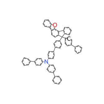 c1ccc(-c2ccc(N(c3ccc(-c4ccccc4)cc3)c3ccc(-c4ccc(C5(c6ccc(-c7ccccc7)cc6)c6ccccc6-c6c5ccc5c6oc6ccccc65)cc4)cc3)cc2)cc1